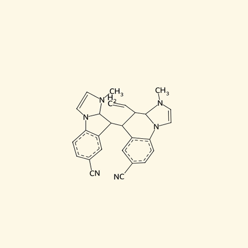 C=CC1C(C2c3cc(C#N)ccc3N3C=CN(C)C23)c2cc(C#N)ccc2N2C=CN(C)C12